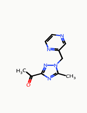 CC(=O)c1nc(C)n(Cc2cnccn2)n1